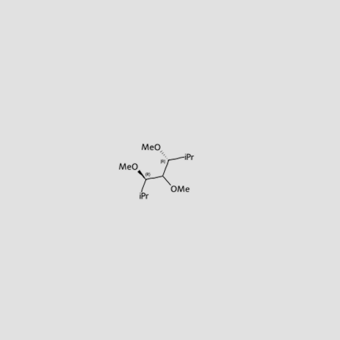 COC([C@H](OC)C(C)C)[C@H](OC)C(C)C